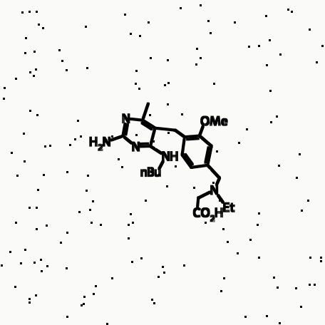 CCCCNc1nc(N)nc(C)c1Cc1ccc(CN(CC)CC(=O)O)cc1OC